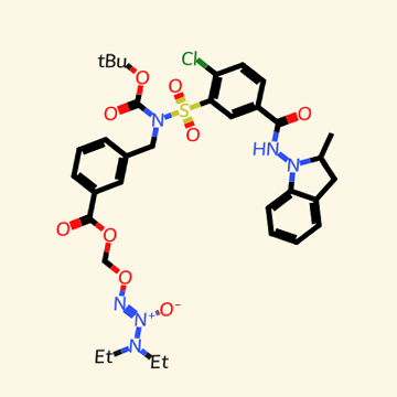 CCN(CC)[N+]([O-])=NOCOC(=O)c1cccc(CN(C(=O)OC(C)(C)C)S(=O)(=O)c2cc(C(=O)NN3c4ccccc4CC3C)ccc2Cl)c1